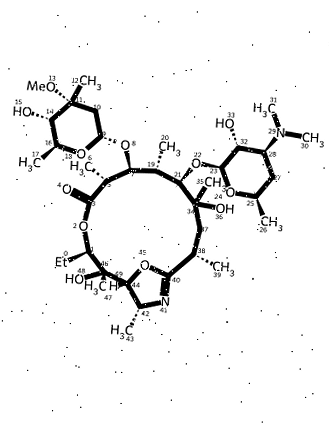 CC[C@H]1OC(=O)[C@H](C)[C@@H](O[C@H]2C[C@@](C)(OC)[C@@H](O)[C@H](C)O2)[C@H](C)[C@@H](O[C@@H]2O[C@H](C)C[C@H](N(C)C)[C@H]2O)C(C)(O)C[C@H](C)C2=N[C@H](C)[C@@H](O2)[C@]1(C)O